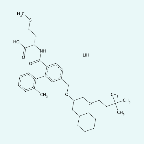 CSCC[C@H](NC(=O)c1ccc(COC(COCCC(C)(C)C)CC2CCCCC2)cc1-c1ccccc1C)C(=O)O.[LiH]